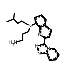 CC(C)CCN(CCCN)c1cccc2ccc(-c3nnc4ccccn34)nc12